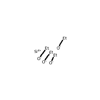 CC[O-].CC[O-].CC[O-].CC[O-].[Si+4]